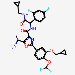 C[C@H](N)c1oc(-c2ccc(OC(F)F)c(OCC3CC3)c2)nc1C(=O)NC(C(=O)NCC1CC1)c1ccc(F)cc1F